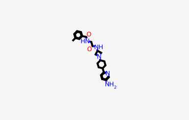 Cc1cccc(C(=O)NCC(=O)NC2CN(C3CCC(c4ccc(N)cn4)CC3)C2)c1